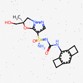 C[C@]1(CO)Cn2ncc([S@@](N)(=O)=NC(=O)Nc3c4c(cc5c3CC5)CC4)c2O1